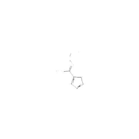 CCCCCCS/N=C(\NC)C1=CC=CC1